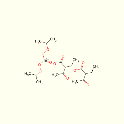 CC(C)O[O][Ti+2](=[O])[O]OC(C)C.CCC(C(C)=O)C(=O)[O-].CCC(C(C)=O)C(=O)[O-]